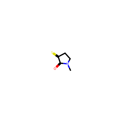 CN1CCC(=S)C1=O